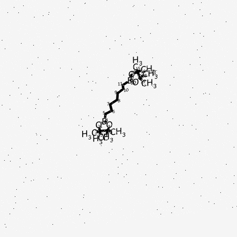 CC1(C)OB(CCCCCCCB2OC(C)(C)C(C)(C)O2)OC1(C)C